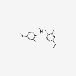 C=Cc1ccc(CN(C)Cc2ccc(C=C)cc2C)c(C)c1